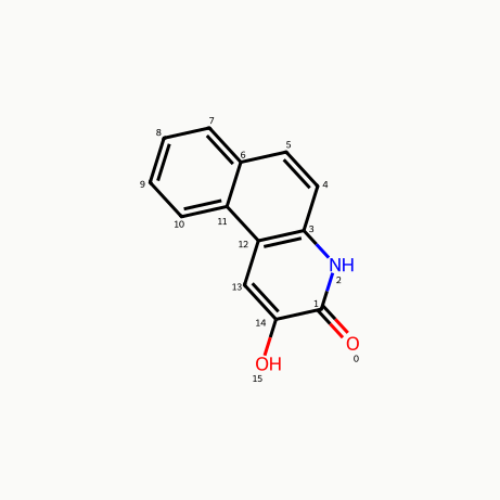 O=c1[nH]c2ccc3ccccc3c2cc1O